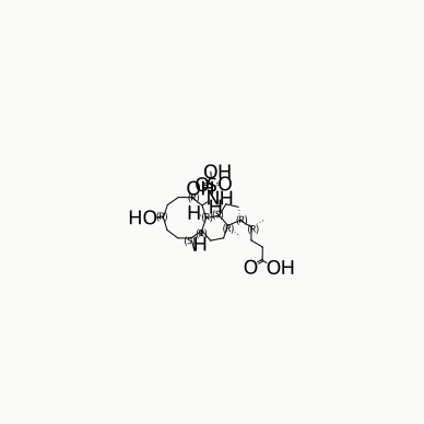 C[C@H](CCC(=O)O)[C@H]1CC[C@H]2[C@@H]3C(NS(=O)(=O)O)[C@H](O)CC[C@H](O)CC[C@H](C)[C@H]3CC[C@]12C